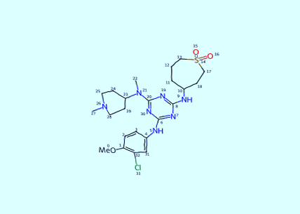 COc1ccc(Nc2nc(NC3CCCS(=O)(=O)CC3)nc(N(C)C3CCN(C)CC3)n2)cc1Cl